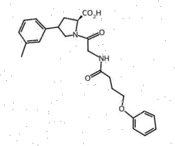 Cc1cccc(C2C[C@@H](C(=O)O)N(C(=O)CNC(=O)CCCOc3ccccc3)C2)c1